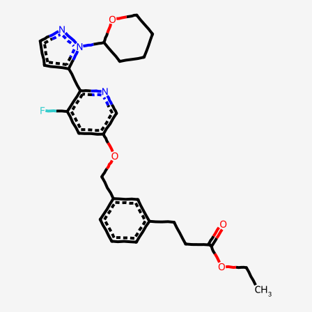 CCOC(=O)CCc1cccc(COc2cnc(-c3ccnn3C3CCCCO3)c(F)c2)c1